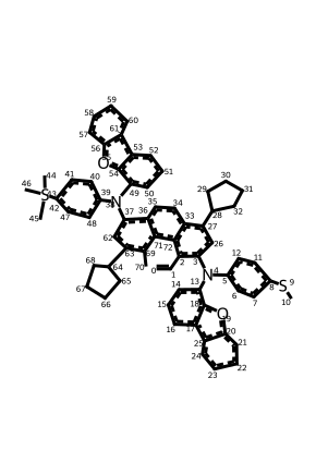 C=Cc1c(N(c2ccc(SC)cc2)c2cccc3c2oc2ccccc23)cc(C2CCCC2)c2ccc3c(N(c4ccc(S(C)(C)C)cc4)c4cccc5c4oc4ccccc45)cc(C4CCCC4)c(C)c3c12